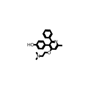 Cc1cc(OCCN(C)C)c(-c2ccc(O)cc2)c(-c2ccccc2)n1